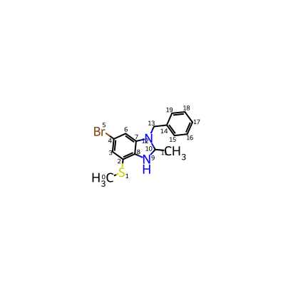 CSc1cc(Br)cc2c1NC(C)N2Cc1ccccc1